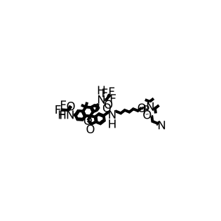 CC(C)N(C(C)C)P(OCCC#N)OCCCCCCNC(=O)c1ccc2c(c1)C1(OC2=O)c2ccc(NC(=O)C(F)(F)F)cc2C(C)(C)c2cc(NC(=O)C(F)(F)F)ccc21